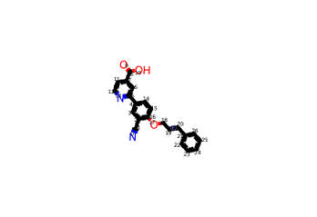 N#Cc1cc(-c2cc(C(=O)O)ccn2)ccc1OC/C=C/c1ccccc1